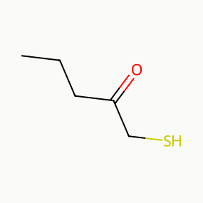 CCCC(=O)CS